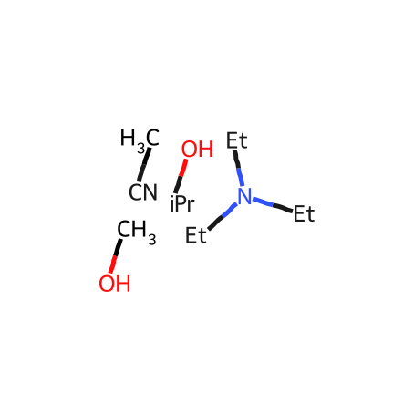 CC#N.CC(C)O.CCN(CC)CC.CO